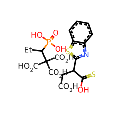 CCC(C(C(=O)O)(C(=O)O)C(=O)O)P(=O)(O)O.O=C(O)CC(C(O)=S)c1nc2ccccc2s1